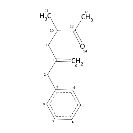 C=C(Cc1ccccc1)CC(C)C(C)=O